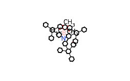 Cc1cc(C)c(B2c3cc(-c4c(-c5ccccc5)cc(-c5ccccc5)cc4-c4ccccc4)ccc3-n3c4ccc(-c5c(-c6ccccc6)cc(-c6ccccc6)cc5-c5ccccc5)cc4c4cc(-c5c(-c6ccccc6)cc(-c6ccccc6)cc5-c5ccccc5)cc2c43)c(C)c1